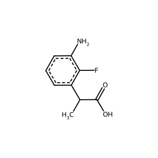 CC(C(=O)O)c1cccc(N)c1F